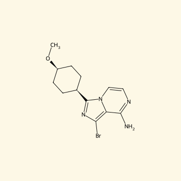 CO[C@H]1CC[C@@H](c2nc(Br)c3c(N)nccn32)CC1